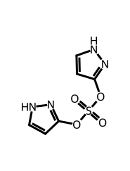 O=S(=O)(Oc1cc[nH]n1)Oc1cc[nH]n1